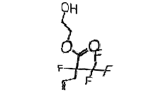 C=CCC(F)(C(=O)OCCO)C(F)(F)F